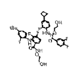 CC(C)(C)c1ccc(Nc2c(C(=O)NOCCO)ccc(F)c2F)c(F)c1.O=C(c1ccc(F)c(F)c1)N(Nc1ccc(C2CCC2)cc1F)OCCO